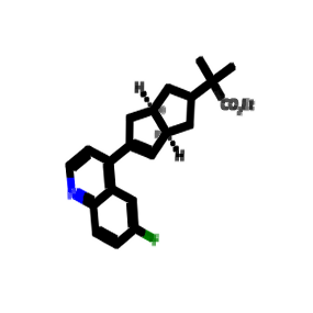 CCOC(=O)C(C)(C)C1C[C@@H]2CC(c3ccnc4ccc(F)cc34)=C[C@@H]2C1